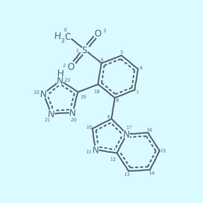 CS(=O)(=O)c1cccc(-c2cnc3ccccn23)c1-c1nnn[nH]1